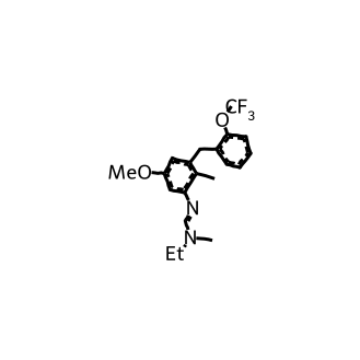 CCN(C)C=Nc1cc(OC)cc(Cc2ccccc2OC(F)(F)F)c1C